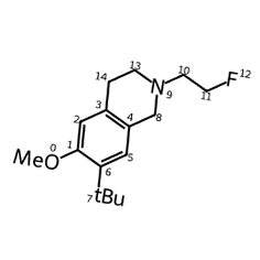 COc1cc2c(cc1C(C)(C)C)CN(CCF)CC2